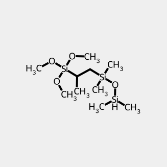 CO[Si](OC)(OC)C(C)C[Si](C)(C)O[SiH](C)C